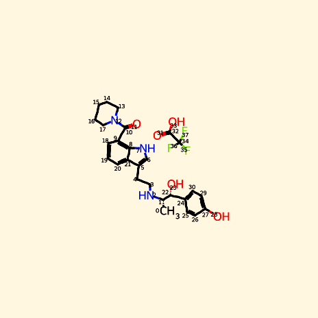 C[C@H](NCCc1c[nH]c2c(C(=O)N3CCCCC3)cccc12)[C@H](O)c1ccc(O)cc1.O=C(O)C(F)(F)F